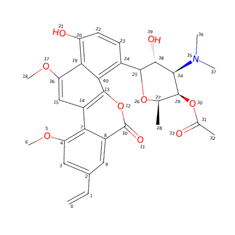 C=Cc1cc(OC)c2c(c1)c(=O)oc1c2cc(OC)c2c(O)ccc(C3O[C@H](C)[C@H](OC(C)=O)[C@H](N(C)C)[C@H]3O)c21